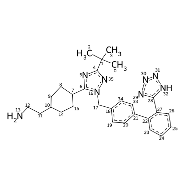 CC(C)(C)c1nc(C2CCC(CCN)CC2)n(Cc2ccc(-c3ccccc3-c3nnn[nH]3)cc2)n1